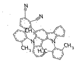 Cc1cccc(C)c1-n1c2ccccc2c2c1c(-c1cccc(C#N)c1C#N)cc1c3ccccc3n(-c3c(C)cccc3C)c12